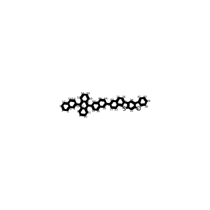 c1ccc2cc(-c3c4ccccc4c(-c4ccc5cc(-c6ccc7c(ccc8c9cc%10c(cc9sc78)oc7ccccc7%10)c6)ccc5c4)c4ccccc34)ccc2c1